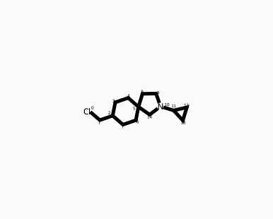 ClCC1CCC2(CC1)CCN(C1CC1)C2